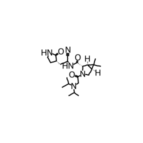 CC(C)N(CC(=O)N1C[C@H]2[C@@H]([C@H]1C(=O)NC(C#N)C[C@@H]1CCNC1=O)C2(C)C)C(C)C